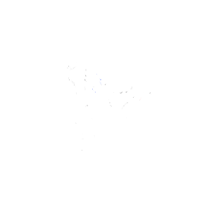 Cc1ccc(Oc2nc3cc(I)c(F)cc3n2COCC[Si](C)(C)C)cc1C=O